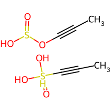 CC#COS(=O)O.CC#C[SH](=O)(O)O